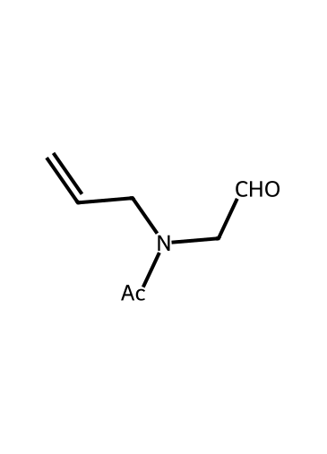 C=CCN(CC=O)C(C)=O